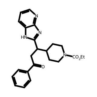 CCOC(=O)N1CCC(C(CC(=O)c2ccccc2)c2nc3ncccc3[nH]2)CC1